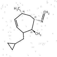 C=N[C@H]1C[C@@H](C)C=CC(CC2CC2)[C@@H]1C